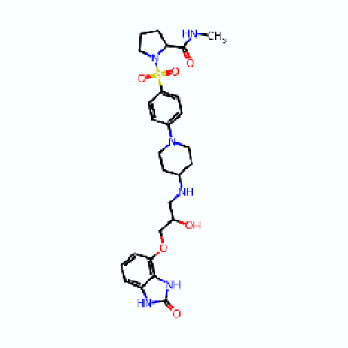 CNC(=O)C1CCCN1S(=O)(=O)c1ccc(N2CCC(NCC(O)COc3cccc4[nH]c(=O)[nH]c34)CC2)cc1